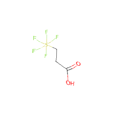 O=C(O)CCS(F)(F)(F)(F)F